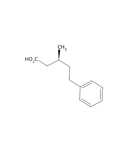 C[C@@H](CCc1ccccc1)CC(=O)O